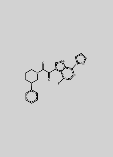 O=C(C(=O)N1CCC[C@H](c2ccccc2)C1)c1c[nH]c2c(-n3ccnn3)ncc(F)c12